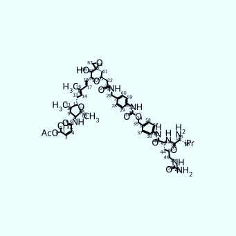 CC(=O)O[C@@H](C)/C=C\C(=O)N[C@@H]1C[C@H](C)[C@H](C/C=C(C)/C=C/[C@H]2O[C@H](CC(=O)NCc3ccc(NC(=O)OCc4ccc(NC(=O)[C@@H](CCCNC(N)=O)NC(=O)[C@H](N)C(C)C)cc4)cc3)C[C@@]3(CO3)[C@@H]2O)O[C@@H]1C